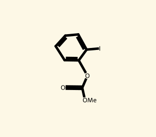 COC(=O)Oc1ccccc1I